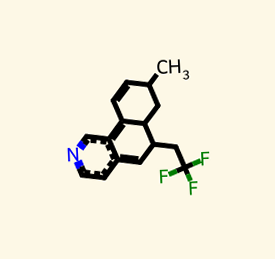 CC1C=CC2=c3cnccc3=CC(CC(F)(F)F)C2C1